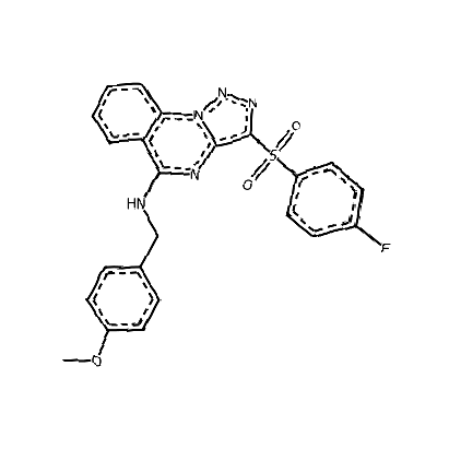 COc1ccc(CNc2nc3c(S(=O)(=O)c4ccc(F)cc4)nnn3c3ccccc23)cc1